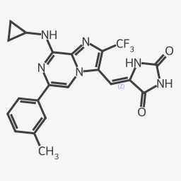 Cc1cccc(-c2cn3c(/C=C4\NC(=O)NC4=O)c(C(F)(F)F)nc3c(NC3CC3)n2)c1